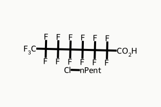 CCCCCCl.O=C(O)C(F)(F)C(F)(F)C(F)(F)C(F)(F)C(F)(F)C(F)(F)C(F)(F)F